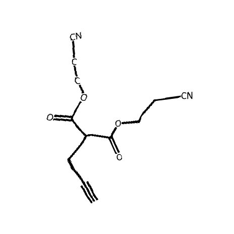 C#CCC(C(=O)OCCC#N)C(=O)OCCC#N